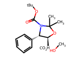 CC(C)(C)OC(=O)N1[C@@H](c2ccccc2)[C@H](C(=O)O)OC1(C)C.CO